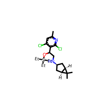 CC[Si](CC)(CC)OC(CN[C@H]1C[C@@H]2[C@H](C1)C2(C)C)c1c(Cl)cc(C)nc1Cl